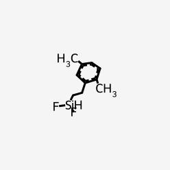 Cc1ccc(C)c(CC[SiH](F)F)c1